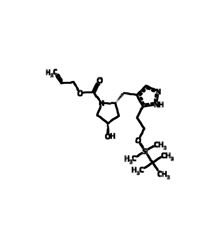 C=CCOC(=O)N1C[C@H](O)C[C@H]1Cc1cn[nH]c1CCO[Si](C)(C)C(C)(C)C